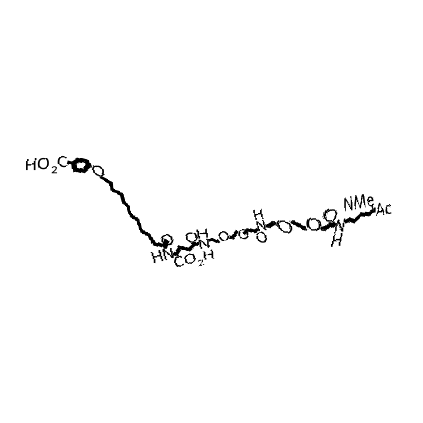 CN[C@@H](CCCCNC(=O)COCCOCCNC(=O)COCCOCCNC(=O)CC[C@H](NC(=O)CCCCCCCCCCCOc1ccc(C(=O)O)cc1)C(=O)O)C(C)=O